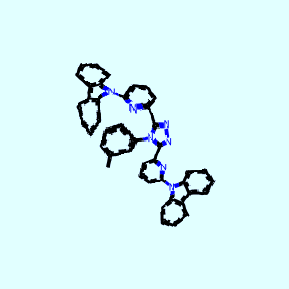 Cc1cccc(-n2c(-c3cccc(-n4c5ccccc5c5ccccc54)n3)nnc2-c2cccc(-n3c4ccccc4c4ccccc43)n2)c1